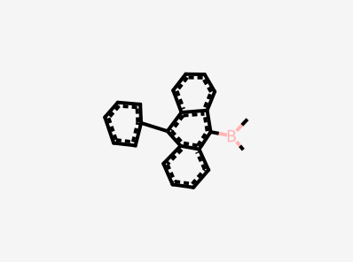 CB(C)c1c2ccccc2c(-c2ccccc2)c2ccccc12